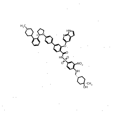 CN1CCC(c2ccccc2[C@H]2CCCN2c2ccc(-c3ccc(C(=O)NS(=O)(=O)c4ccc(NC[C@H]5CC[C@](C)(O)CC5)c([N+](=O)[O-])c4)c(Oc4cnc5[nH]ccc5c4)c3)cc2)CC1